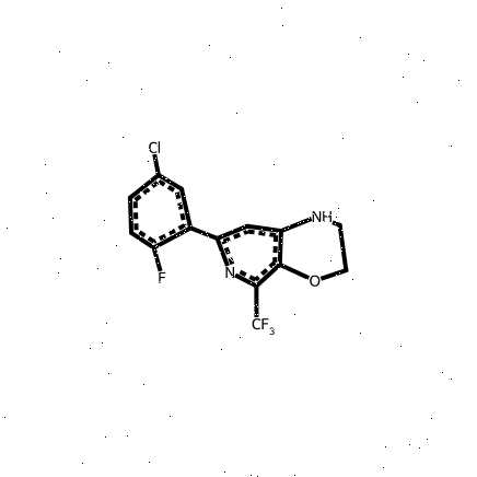 Fc1ccc(Cl)cc1-c1cc2c(c(C(F)(F)F)n1)OCCN2